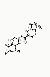 C[C](C)C[C@@H](CC(=O)N1CCn2c(cnc2C(F)(F)F)C1)Cc1cc(F)c(F)cc1F